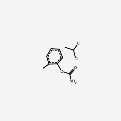 CC(Cl)Cl.Cc1ccccc1OC(N)=O